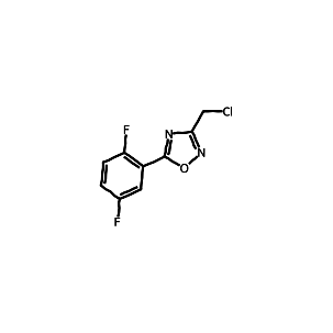 Fc1ccc(F)c(-c2nc(CCl)no2)c1